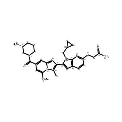 COc1cc(C(=O)N2CCC[C@@H](N)C2)cc2nc(-c3cc4ccc(OCC(N)=O)nc4n3CC3CC3)c(C)n12